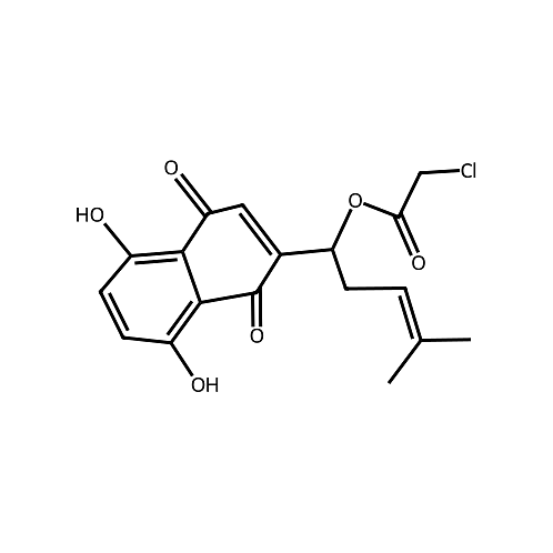 CC(C)=CCC(OC(=O)CCl)C1=CC(=O)c2c(O)ccc(O)c2C1=O